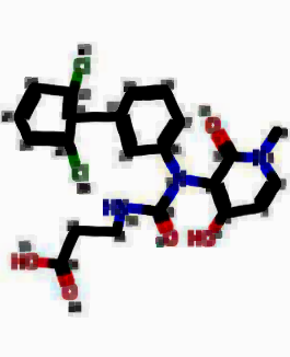 Cn1ccc(O)c(N(C(=O)NCCC(=O)O)c2cccc(-c3c(Cl)cccc3Cl)c2)c1=O